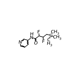 C[Si](C)(C)CC(F)C(F)C(=O)Nc1cccnc1